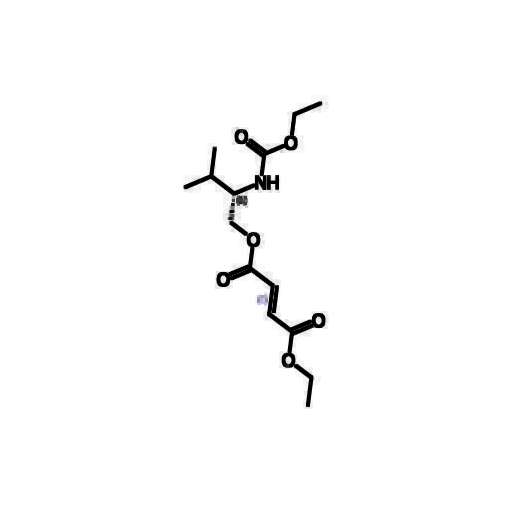 CCOC(=O)/C=C/C(=O)OC[C@@H](NC(=O)OCC)C(C)C